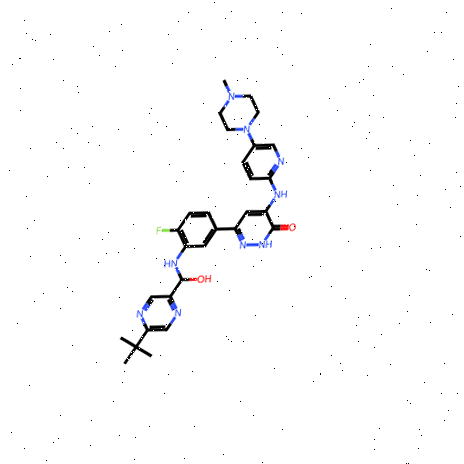 CN1CCN(c2ccc(Nc3cc(-c4ccc(F)c(NC(O)c5cnc(C(C)(C)C)cn5)c4)n[nH]c3=O)nc2)CC1